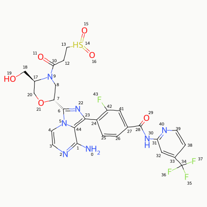 Nc1nccn2c([C@H]3CN(C(=O)CC[SH](=O)=O)[C@H](CO)CO3)nc(-c3ccc(C(=O)Nc4cc(C(F)(F)F)ccn4)cc3F)c12